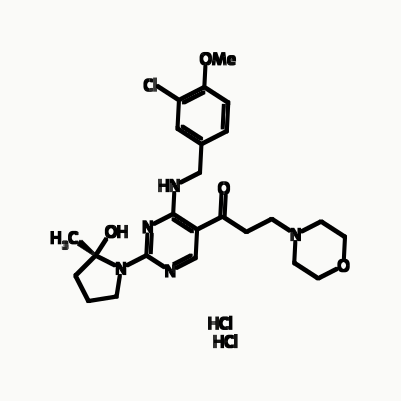 COc1ccc(CNc2nc(N3CCC[C@]3(C)O)ncc2C(=O)CCN2CCOCC2)cc1Cl.Cl.Cl